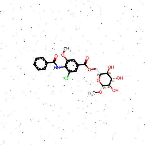 COc1cc(C(=O)OC[C@H]2O[C@@H](OC)[C@H](O)[C@@H](O)[C@@H]2O)cc(Cl)c1NC(=O)c1ccccc1